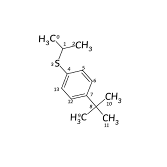 CC(C)Sc1ccc(C(C)(C)C)cc1